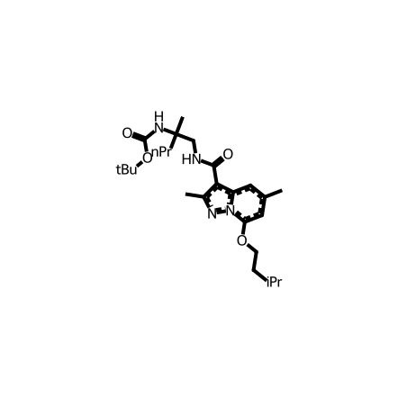 CCCC(C)(CNC(=O)c1c(C)nn2c(OCCC(C)C)cc(C)cc12)NC(=O)OC(C)(C)C